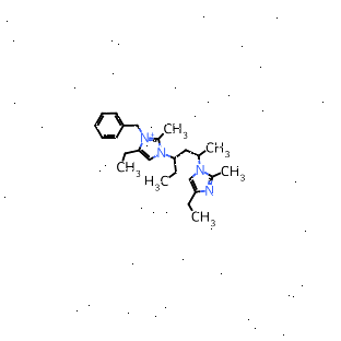 CCc1cn(C(C)CC(CC)n2cc(CC)[n+](Cc3ccccc3)c2C)c(C)n1